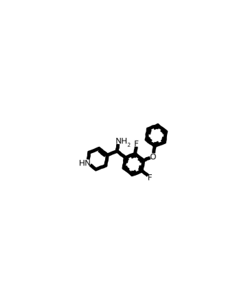 NC(C1=CCNCC1)c1ccc(F)c(Oc2ccccc2)c1F